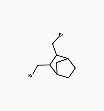 BrCC1C2CCC(C2)C1CBr